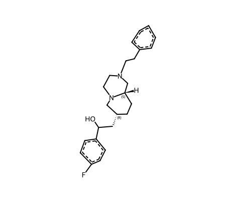 OC(C[C@H]1CC[C@H]2CN(CCc3ccccc3)CCN2C1)c1ccc(F)cc1